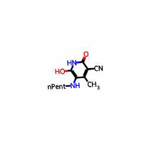 CCCCCNc1c(O)[nH]c(=O)c(C#N)c1C